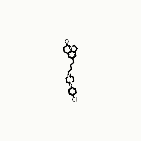 O=C1CCc2cc(CCCCN3CCN(c4ccc(Cl)cc4)CC3)cc3c2N1CC3